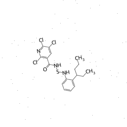 CCCC(CC)c1ccccc1NSNC(=O)c1cc(Cl)c(Cl)nc1Cl